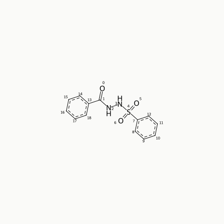 O=C(NNS(=O)(=O)c1ccccc1)c1ccccc1